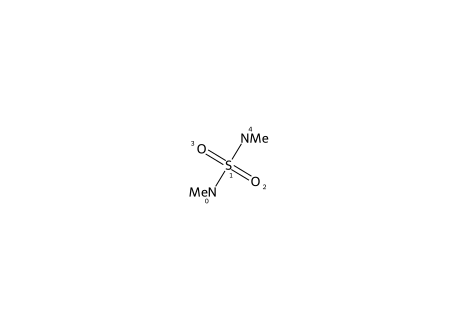 [CH2]NS(=O)(=O)NC